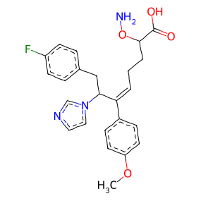 COc1ccc(C(=CCCC(ON)C(=O)O)C(Cc2ccc(F)cc2)n2ccnc2)cc1